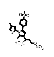 Cc1csc(-n2c(-c3ccc(S(C)(=O)=O)cc3)cc(C(CCO[N+](=O)[O-])C(=O)O)c2C)c1